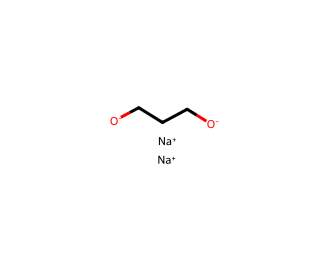 [Na+].[Na+].[O-]CCC[O-]